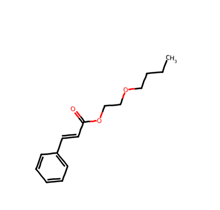 CCCCOCCOC(=O)C=Cc1ccccc1